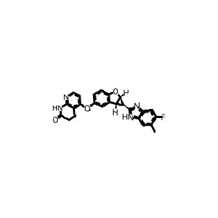 Cc1cc2[nH]c([C@@H]3[C@H]4Oc5ccc(Oc6ccnc7c6CCC(=O)N7)cc5[C@H]43)nc2cc1F